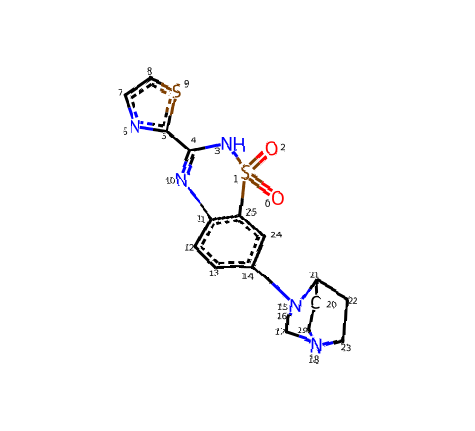 O=S1(=O)NC(c2nccs2)=Nc2ccc(N3CCN4CCC3CC4)cc21